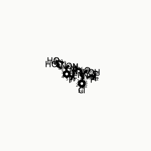 O=C(c1cccc(C(F)(F)F)c1-n1cnc(Cn2nc(-c3ccc(Cl)cc3)n(C[C@H](O)C(F)(F)F)c2=O)n1)N1CCS(O)(O)CC1